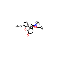 CCCC12c3c4ccc(OC)c3OC1C(=O)CCC2(O)C(N(C)CC1CC1)C4